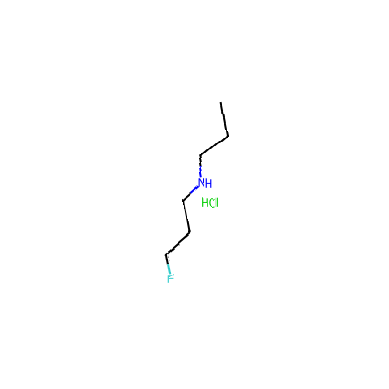 CCCNCCCF.Cl